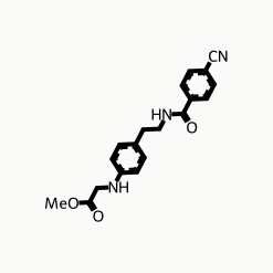 COC(=O)CNc1ccc(CCNC(=O)c2ccc(C#N)cc2)cc1